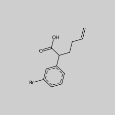 C=CCCC(C(=O)O)c1cccc(Br)c1